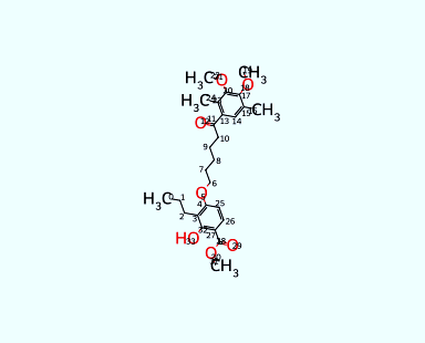 CCCc1c(OCCCCCC(=O)c2cc(C)c(OC)c(OC)c2C)ccc(C(=O)OC)c1O